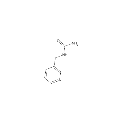 NC(=O)NCc1c[c]ccc1